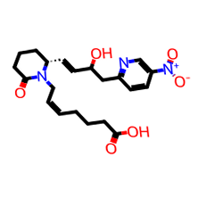 O=C(O)CCC/C=C\CN1C(=O)CCC[C@@H]1/C=C/C(O)Cc1ccc([N+](=O)[O-])cn1